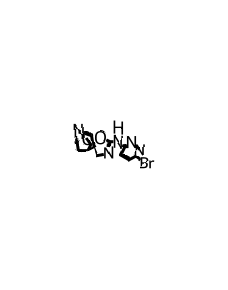 Brc1ccc(NC2=NC[C@@]3(CN4CCC3CC4)O2)nn1